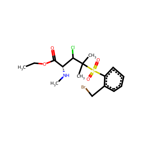 CCOC(=O)[C@@H](NC)C(Cl)C(C)(C)S(=O)(=O)c1ccccc1CBr